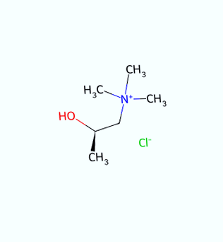 C[C@@H](O)C[N+](C)(C)C.[Cl-]